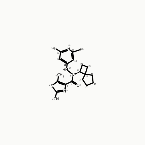 Cc1sc(C#N)nc1C(=O)N(Nc1cc(F)nc(F)c1)[C@H]1CCC12CCCC2